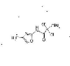 CCCCC(Cl)(Cl)C(=O)Nc1nc(C)co1